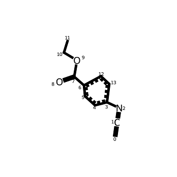 C=C=Nc1ccc(C(=O)OCC)cc1